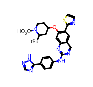 CC(C)(C)C1CC(Oc2cc3nc(Nc4ccc(-c5ncn[nH]5)cc4)ncc3cc2-c2nccs2)CCN1C(=O)O